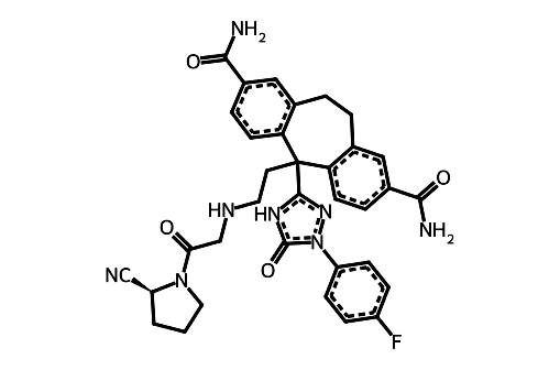 N#C[C@@H]1CCCN1C(=O)CNCCC1(c2nn(-c3ccc(F)cc3)c(=O)[nH]2)c2ccc(C(N)=O)cc2CCc2cc(C(N)=O)ccc21